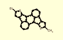 CCc1cc2c3cccc4c3c(c3cccc5c6cc(C)sc6c4c53)c2s1